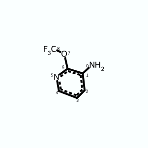 Nc1cccnc1OC(F)(F)F